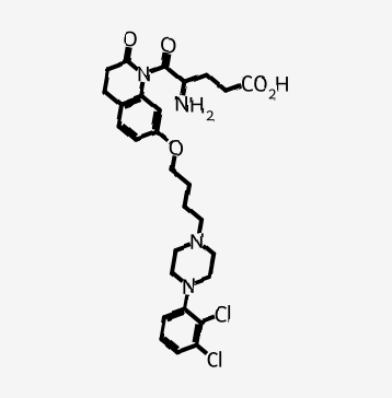 NC(CCC(=O)O)C(=O)N1C(=O)CCc2ccc(OCCCCN3CCN(c4cccc(Cl)c4Cl)CC3)cc21